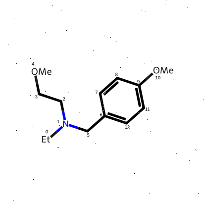 CCN(CCOC)Cc1ccc(OC)cc1